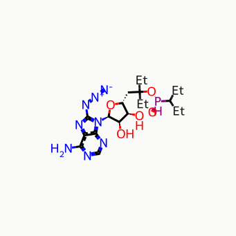 CCC(CC)[PH](=O)OC(CC)(CC)C[C@H]1O[C@H](n2c(N=[N+]=[N-])nc3c(N)ncnc32)[C@H](O)[C@@H]1O